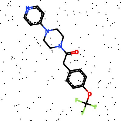 O=C(Cc1ccc(OC(F)(F)F)cc1)N1CCN(c2ccncc2)CC1